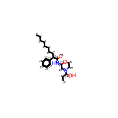 CCCCCCCCC(C(=O)N[C@@H]1CN(C(O)CC)CCO1)c1ccccc1